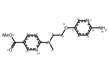 COC(=O)c1ccc(N(C)CCOc2ccc(N)nc2)nc1